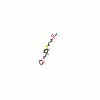 CC(=O)CC(=O)OCCCCSc1ccc(CCCOC2CCCCO2)cc1